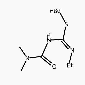 CCCCSC(=NCC)NC(=O)N(C)C